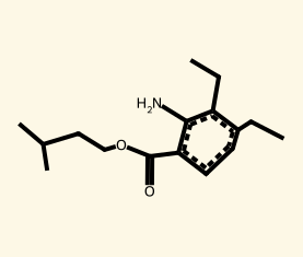 CCc1ccc(C(=O)OCCC(C)C)c(N)c1CC